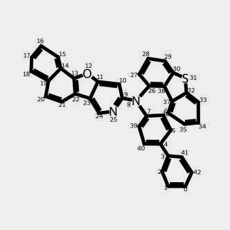 c1ccc(-c2ccc(N(c3cc4oc5c6ccccc6ccc5c4cn3)c3cccc4sc5ccccc5c34)cc2)cc1